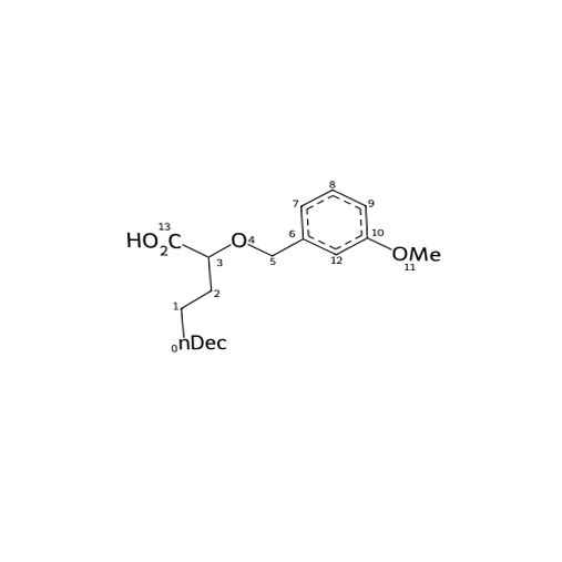 CCCCCCCCCCCCC(OCc1cccc(OC)c1)C(=O)O